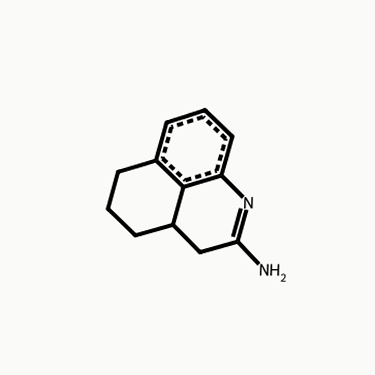 NC1=Nc2cccc3c2C(CCC3)C1